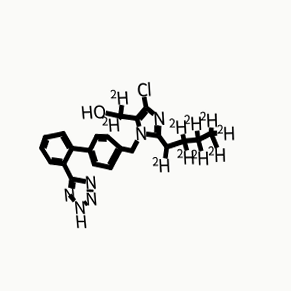 [2H]C(c1nc(Cl)c(C([2H])([2H])O)n1Cc1ccc(-c2ccccc2-c2nn[nH]n2)cc1)C([2H])([2H])C([2H])([2H])C([2H])([2H])[2H]